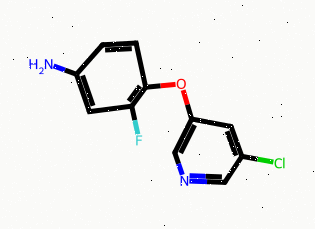 Nc1ccc(Oc2cncc(Cl)c2)c(F)c1